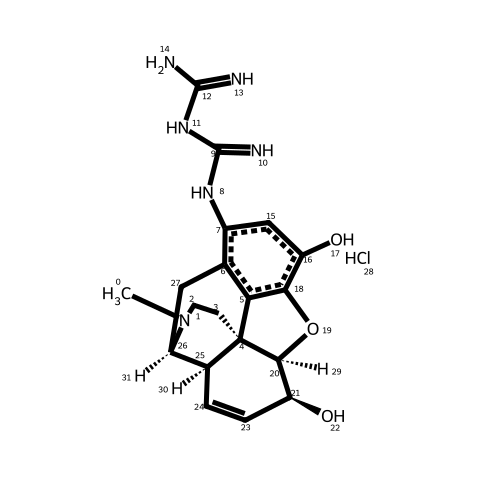 CN1CC[C@]23c4c5c(NC(=N)NC(=N)N)cc(O)c4O[C@H]2[C@@H](O)C=C[C@H]3[C@H]1C5.Cl